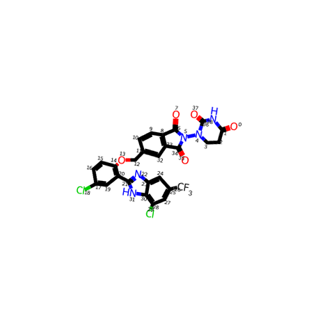 O=C1CCN(N2C(=O)c3ccc(COc4ccc(Cl)cc4-c4nc5cc(C(F)(F)F)cc(Cl)c5[nH]4)cc3C2=O)C(=O)N1